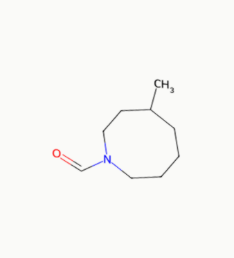 CC1CCCCN(C=O)CC1